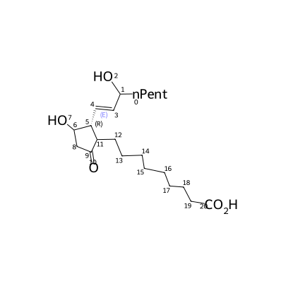 CCCCCC(O)/C=C/[C@H]1C(O)CC(=O)C1CCCCCCCCC(=O)O